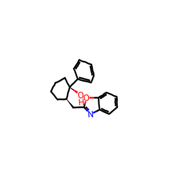 O[C@]1(c2ccccc2)CCCC[C@@H]1Cc1nc2ccccc2o1